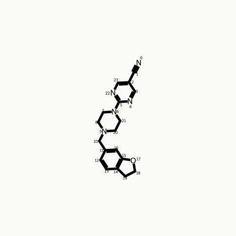 N#Cc1cnc(N2CCN(Cc3ccc4c(c3)OCC4)CC2)nc1